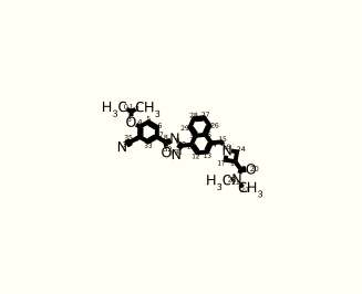 CC(C)Oc1ccc(-c2nc(-c3ccc(CN4CC(C(=O)N(C)C)C4)c4ccccc34)no2)cc1C#N